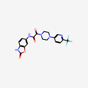 O=C(Nc1ccc2[nH]c(=O)oc2c1)C(=O)N1CCN(c2ccc(C(F)(F)F)nc2)CC1